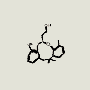 Cc1cccc2c1OP(CCO)Oc1c(cccc1C(C)(C)C)CC2(C)C